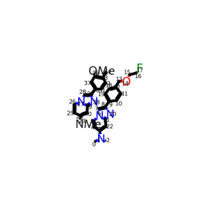 CN(C)c1ccn2cc(-c3ccc(COCCF)cc3)nc2c1.CNc1ccn2cc(-c3ccc(C)c(OC)c3)nc2c1